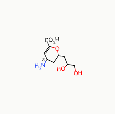 N[C@H]1C=C(C(=O)O)OC(CC(O)CO)C1